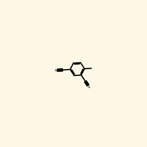 N#Cc1ccc(I)c(C#N)c1